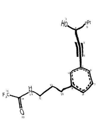 CCCC(O)C#Cc1cccc(CCCNC(=O)C(F)(F)F)c1